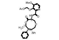 CCC[C@H]1COC[C@H](NC(=O)c2nccc(OC)c2OCOC(C)=O)C(=O)O[C@@H](C)[C@@H]1c1ccccc1